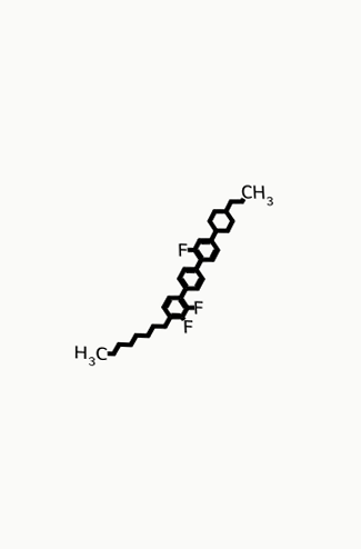 CCCCCCCCc1ccc(-c2ccc(-c3ccc(C4CCC(CCC)CC4)cc3F)cc2)c(F)c1F